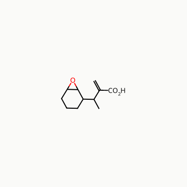 C=C(C(=O)O)C(C)C1CCCC2OC21